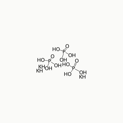 O=P(O)(O)O.O=P(O)(O)O.O=P(O)(O)O.[KH].[KH].[KH]